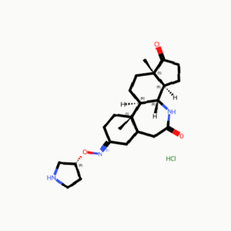 C[C@]12CC/C(=N\O[C@@H]3CCNC3)CC1CC(=O)N[C@@H]1[C@@H]2CC[C@]2(C)C(=O)CC[C@@H]12.Cl